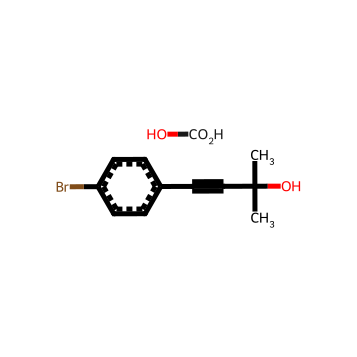 CC(C)(O)C#Cc1ccc(Br)cc1.O=C(O)O